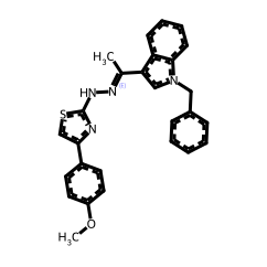 COc1ccc(-c2csc(N/N=C(\C)c3cn(Cc4ccccc4)c4ccccc34)n2)cc1